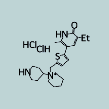 CCc1cc(-c2ccc(C[N+]3(C4CCNCC4)CCCCC3)s2)c(C)[nH]c1=O.Cl.Cl